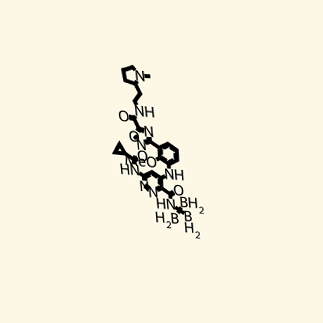 BC(B)(B)NC(=O)c1nnc(NC(=O)C2CC2)cc1Nc1cccc(-c2noc(C(=O)NCCC3CCCN3C)n2)c1OC